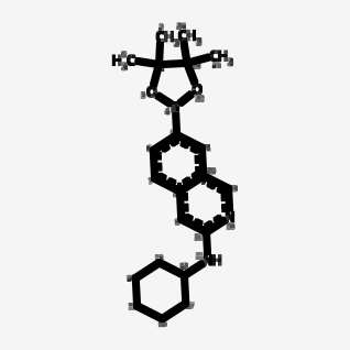 CC1(C)OB(c2ccc3cc(NC4CCCCC4)ncc3c2)OC1(C)C